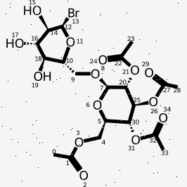 CC(=O)OC[C@H]1O[C@@H](OC[C@H]2O[C@H](Br)[C@H](O)[C@@H](O)[C@@H]2O)[C@H](OC(C)=O)[C@@H](OC(C)=O)[C@@H]1OC(C)=O